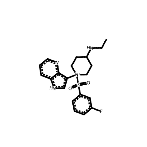 CCNC1CC[N+](c2c[nH]c3cccnc23)(S(=O)(=O)c2cccc(F)c2)CC1